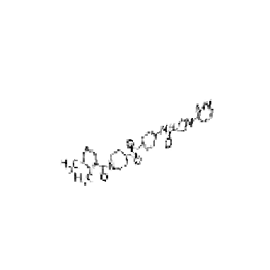 Cc1cccc(C(=O)N2CCC(S(=O)(=O)c3ccc(NC(=O)C4CN(c5cccnn5)C4)cc3)CC2)c1C